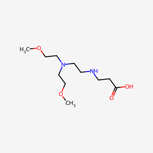 COCCN(CCNCCC(=O)O)CCOC